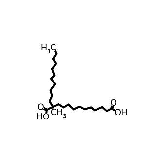 CCCCCCCCCCCC(C)(CCCCCCCCCCC(=O)O)C(=O)O